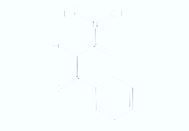 CCC(C(=O)c1ccccc1)C(=O)N(C)C